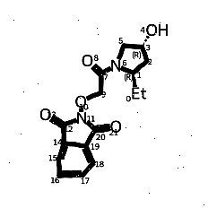 CC[C@@H]1C[C@@H](O)CN1C(=O)CON1C(=O)c2ccccc2C1=O